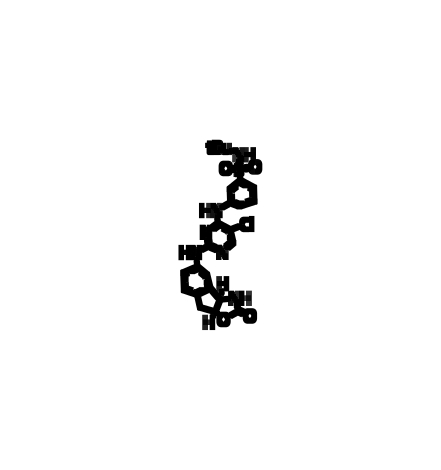 CC(C)(C)NS(=O)(=O)c1cccc(Nc2nc(Nc3ccc4c(c3)[C@@H]3NC(=O)O[C@@H]3C4)ncc2Cl)c1